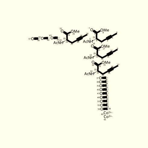 CC#CC[C@H]([N-]C(C)=O)C(=O)OC.CC#CC[C@H]([N-]C(C)=O)C(=O)OC.CC#CC[C@H]([N-]C(C)=O)C(=O)OC.CC#CC[C@H]([N-]C(C)=O)C(=O)OC.[C]=O.[C]=O.[C]=O.[C]=O.[C]=O.[C]=O.[C]=O.[C]=O.[C]=O.[C]=O.[C]=O.[C]=O.[Co+2].[Co+2]